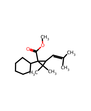 COC(=O)C1(C2CCCCC2)C(C=C(C)C)C1(C)C